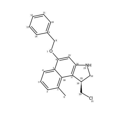 Cc1cccc2c(OCc3ccccc3)cc3c(c12)[C@H](CCl)CN3